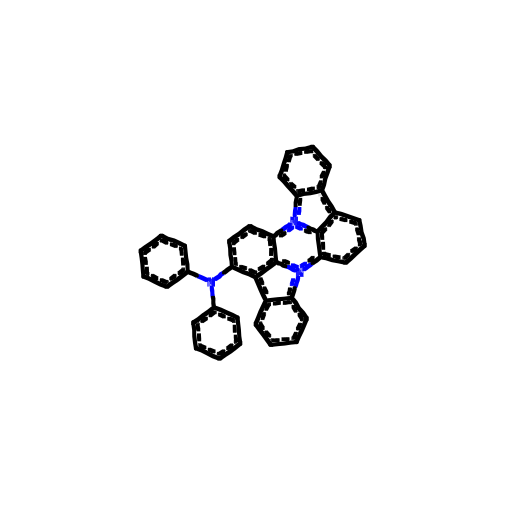 c1ccc(N(c2ccccc2)c2ccc3c4c2c2ccccc2n4c2cccc4c5ccccc5n3c42)cc1